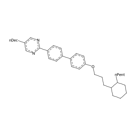 CCCCCCCCCCc1cnc(-c2ccc(-c3ccc(OCCCC4CCCCC4CCCCC)cc3)cc2)nc1